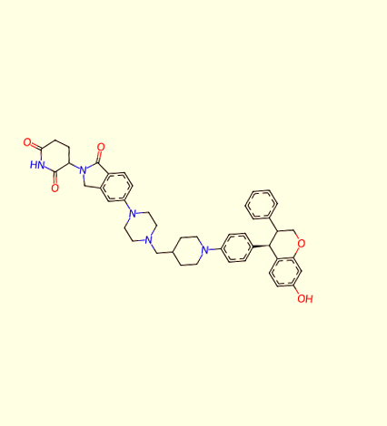 O=C1CCC(N2Cc3cc(N4CCN(CC5CCN(c6ccc([C@@H]7c8ccc(O)cc8OCC7c7ccccc7)cc6)CC5)CC4)ccc3C2=O)C(=O)N1